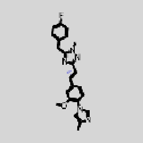 COc1cc(/C=C/c2nc(Cc3ccc(F)cc3)n(C)n2)ccc1-n1cnc(C)c1